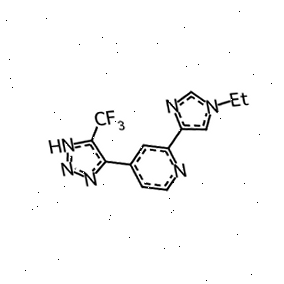 CCn1cnc(-c2cc(-c3nn[nH]c3C(F)(F)F)ccn2)c1